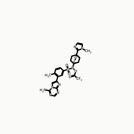 Cc1ccc(S(=O)(=O)N(OC(=O)C(F)(F)F)C23CCC(c4nccn4C)(CC2)OC3)cc1-c1cn2c(N)ncnc2n1